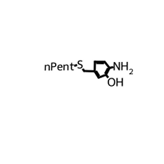 CCCCCSCc1ccc(N)c(O)c1